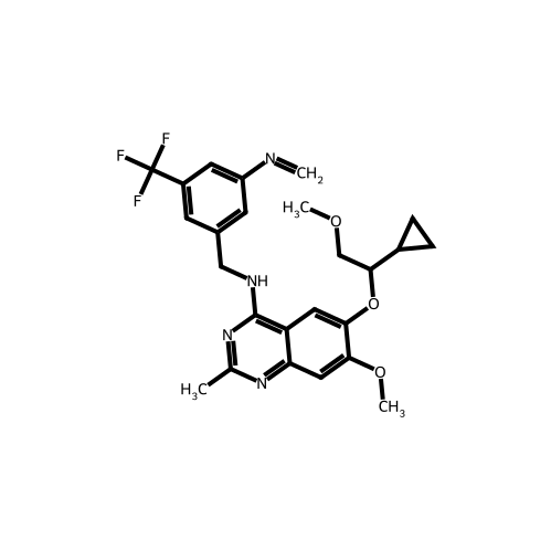 C=Nc1cc(CNc2nc(C)nc3cc(OC)c(OC(COC)C4CC4)cc23)cc(C(F)(F)F)c1